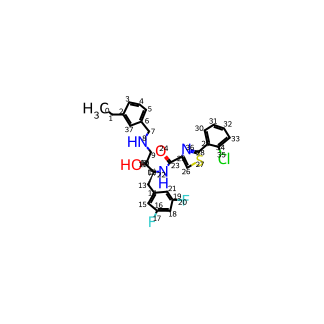 CCc1cccc(CNC[C@@H](O)[C@H](Cc2cc(F)cc(F)c2)NC(=O)c2csc(-c3ccccc3Cl)n2)c1